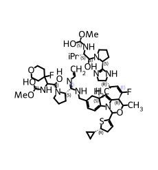 C=C/N=C(\NCC1=CC=C2[C@H](C=C3[C@@H](/C(F)=C\C(=C)[C@@H]4CN=C([C@@H]5CCCN5[C@@H](O)[C@@H](N[C@@H](O)OC)C(C)C)N4)C(C)OC(C4=CC[C@H](C5CC5)S4)N23)C1)[C@@H]1CCCN1[C@H](O)C(N[C@H](O)OC)C1(F)CCOCC1